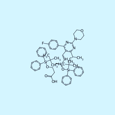 CC(C)c1nc(N2CCOCC2)nc(-c2ccc(F)cc2)c1/C=C/[C@H](C[C@H](CC(=O)O)O[Si](c1ccccc1)(c1ccccc1)C(C)(C)C)O[Si](c1ccccc1)(c1ccccc1)C(C)(C)C